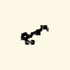 NCCNCCn1ccnc1C=O